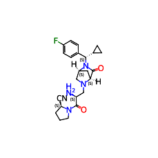 N#C[C@@H]1CCCN1C(=O)[C@@H](N)CN1C[C@@H]2C[C@H]1C(=O)N2[C@H](c1ccc(F)cc1)C1CC1